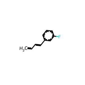 C=CC=Cc1cccc(F)c1